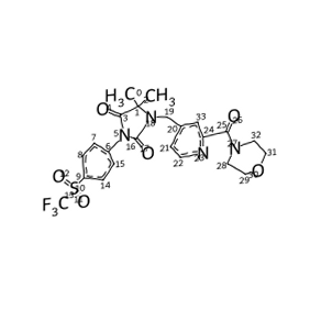 CC1(C)C(=O)N(c2ccc(S(=O)(=O)C(F)(F)F)cc2)C(=O)N1Cc1ccnc(C(=O)N2CCOCC2)c1